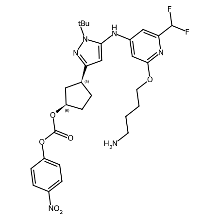 CC(C)(C)n1nc([C@H]2CC[C@@H](OC(=O)Oc3ccc([N+](=O)[O-])cc3)C2)cc1Nc1cc(OCCCCN)nc(C(F)F)c1